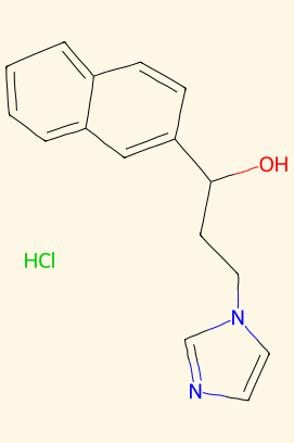 Cl.OC(CCn1ccnc1)c1ccc2ccccc2c1